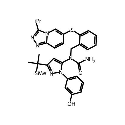 CSC(C)(C)c1cc(N(Cc2ccccc2Sc2ccc3nnc(C(C)C)n3c2)C(N)=O)n(-c2cccc(O)c2)n1